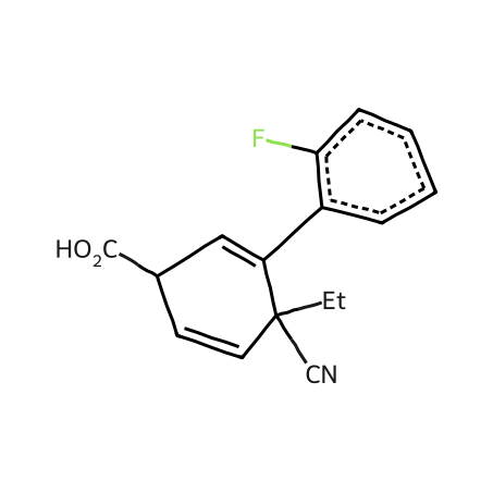 CCC1(C#N)C=CC(C(=O)O)C=C1c1ccccc1F